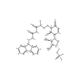 C=P(C)(C)CC[C@H]1OC(n2ccc(=O)n(CCC(C)C(=O)OC(=O)OCC3c4ccccc4-c4ccccc43)c2=O)[C@H](O)[C@@H]1O